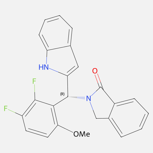 COc1ccc(F)c(F)c1[C@H](c1cc2ccccc2[nH]1)N1Cc2ccccc2C1=O